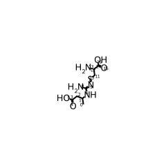 CC(CC(=O)O)N/C(N)=N/SC[C@@H](N)C(=O)O